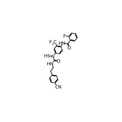 N#Cc1ccc(CCNC(=O)N(S)c2ccc(NC(=O)c3ccccc3F)c(C(F)(F)F)c2)cc1